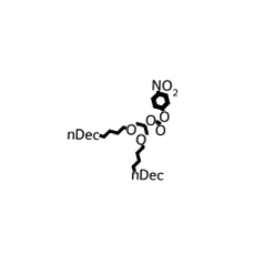 CCCCCCCCCCCCCCOCC(COCCCCCCCCCCCCCC)OC(=O)Oc1ccc([N+](=O)[O-])cc1